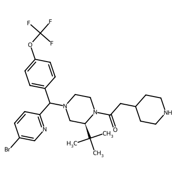 CC(C)(C)[C@H]1CN(C(c2ccc(OC(F)(F)F)cc2)c2ccc(Br)cn2)CCN1C(=O)CC1CCNCC1